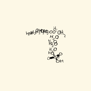 O.O.O.O.O.O.O.O.O.O.O=[Se](=O)(O)O.[NaH]